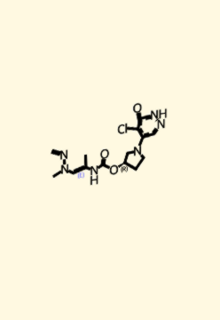 C=NN(C)/C=C(\C)NC(=O)O[C@@H]1CCN(c2cn[nH]c(=O)c2Cl)C1